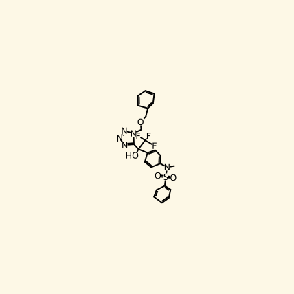 CN(c1ccc(C(O)(c2nnnn2COCc2ccccc2)C(F)(F)F)cc1)S(=O)(=O)c1ccccc1